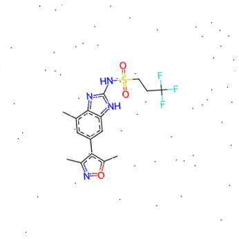 Cc1noc(C)c1-c1cc(C)c2nc(NS(=O)(=O)CCC(F)(F)F)[nH]c2c1